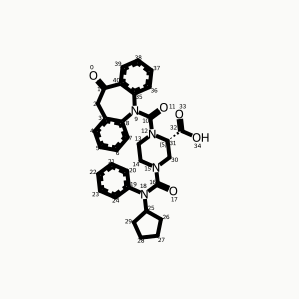 O=C1Cc2ccccc2N(C(=O)N2CCN(C(=O)N(c3ccccc3)C3CCCC3)C[C@H]2C(=O)O)c2ccccc21